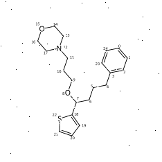 c1ccc(CCCC(OCCCN2CCOCC2)c2cccs2)cc1